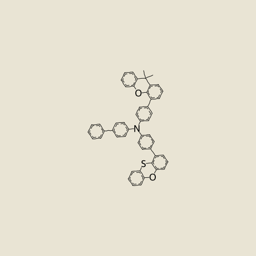 CC1(C)c2ccccc2Oc2c(-c3ccc(N(c4ccc(-c5ccccc5)cc4)c4ccc(-c5cccc6c5Sc5ccccc5O6)cc4)cc3)cccc21